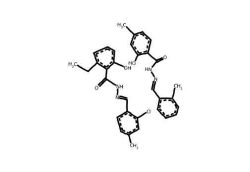 CCc1cccc(O)c1C(=O)NN=Cc1ccc(C)cc1Cl.Cc1ccc(C(=O)NN=Cc2ccccc2C)c(O)c1